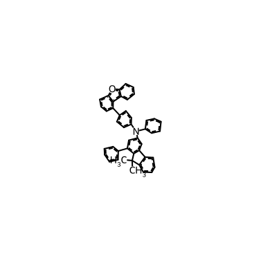 CC1(C)c2ccccc2-c2cc(N(c3ccccc3)c3ccc(-c4cccc5oc6ccccc6c45)cc3)cc(-c3ccccc3)c21